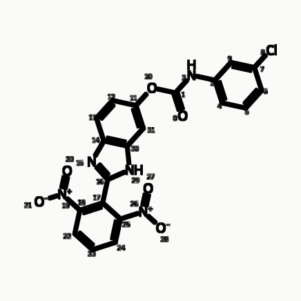 O=C(Nc1cccc(Cl)c1)Oc1ccc2nc(-c3c([N+](=O)[O-])cccc3[N+](=O)[O-])[nH]c2c1